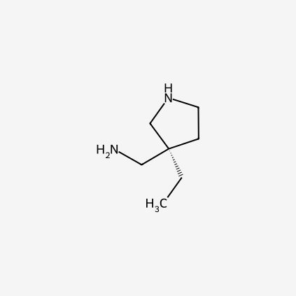 CC[C@@]1(CN)CCNC1